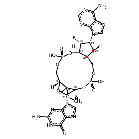 CO[C@H]1[C@H]2OP(=O)(O)OC[C@@]34CC[C@@H]3[C@@H](n3cnc5c(N)ncnc53)[C@@H](F)[C@@H]4OP(=O)(O)OC[C@H]1O[C@H]2n1cnc2c(=O)[nH]c(N)nc21